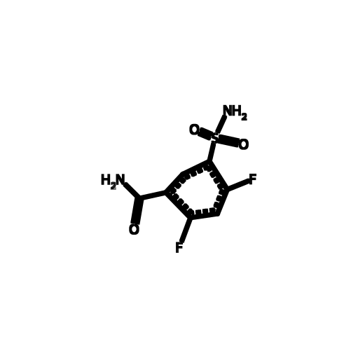 NC(=O)c1cc(S(N)(=O)=O)c(F)cc1F